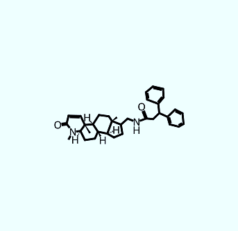 CN1C(=O)C=C[C@]2(C)[C@H]3CC[C@]4(C)C(CNC(=O)CC(c5ccccc5)c5ccccc5)CC[C@H]4[C@@H]3CC[C@@H]12